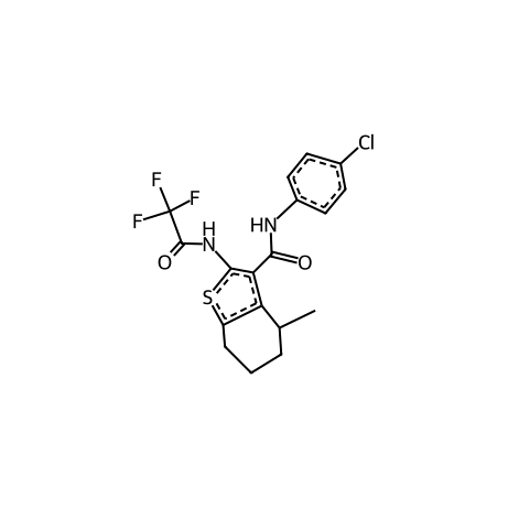 CC1CCCc2sc(NC(=O)C(F)(F)F)c(C(=O)Nc3ccc(Cl)cc3)c21